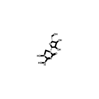 O=C1N=C(NO)N(O)CN1[C@@H]1O[C@H](CO)C(O)C1O